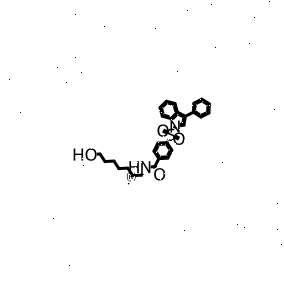 C[C@H](CCCCCO)CNC(=O)c1ccc(S(=O)(=O)n2cc(-c3ccccc3)c3ccccc32)cc1